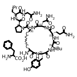 CC[C@H](C)[C@@H]1NC(=O)[C@H](Cc2ccc(O)cc2)NC(=O)[C@@H](N)CSSC[C@@H](C(=O)N2CCC[C@H]2C(=O)N[C@@H](CC(C)C)C(=O)NCC(N)=O)NC(=O)[C@H](CC(N)=O)NC(=O)[C@H](CCC(N)=O)NC1=O.NC(Cc1ccccc1)C(=O)O